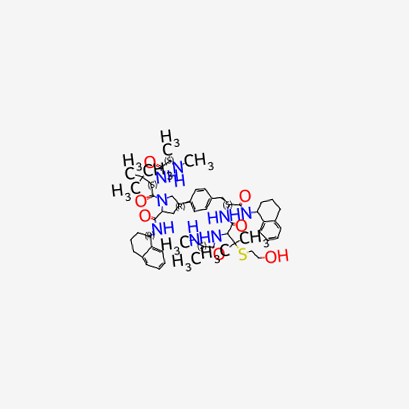 CN[C@@H](C)C(=O)NC(C(=O)N[C@@H](Cc1ccc([C@H]2CC(C(=O)N[C@@H]3CCCc4ccccc43)N(C(=O)[C@@H](NC(=O)[C@H](C)NC)C(C)(C)C)C2)cc1)C(=O)NC1CCCc2ccccc21)C(C)(C)SCCO